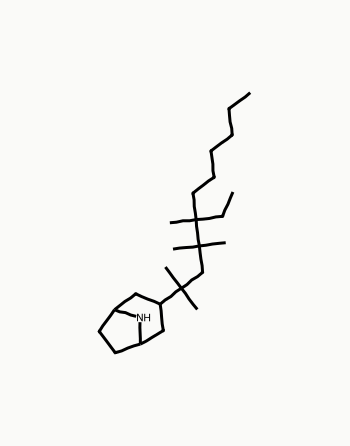 CCCCCCC(C)(CC)C(C)(C)CC(C)(C)C1CC2CCC(C1)N2